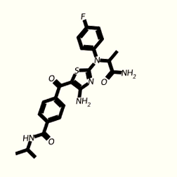 CC(C)NC(=O)c1ccc(C(=O)c2sc(N(c3ccc(F)cc3)C(C)C(N)=O)nc2N)cc1